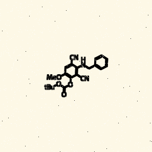 COc1cc(C#N)c(NCc2ccccc2)c(C#N)c1OC(=O)OC(C)(C)C